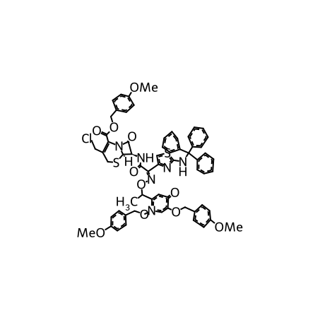 COc1ccc(COC(=O)C2=C(CCl)CS[C@@H]3[C@H](NC(=O)/C(=N\OC(C)c4cc(=O)c(OCc5ccc(OC)cc5)cn4OCc4ccc(OC)cc4)c4csc(NC(c5ccccc5)(c5ccccc5)c5ccccc5)n4)C(=O)N23)cc1